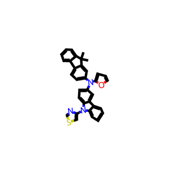 CC1(C)c2ccccc2-c2ccc(N(c3ccc4c(c3)c3ccccc3n4-c3cscn3)c3ccco3)cc21